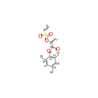 C=CS(=O)(=O)OC(=C)C(=O)Oc1c(C)cc(C)cc1C